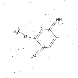 COC1=CC(=N)C=CC1=O